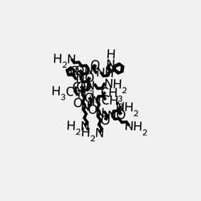 CC(C)CN(CC(=O)N(CCCCN)CC(=O)N(CCCCN)CC(N)=O)C(=O)CN(CCCCN)C(=O)CN(CC(C)C)C(=O)CN(CCCCN)C(=O)CN(Cc1ccco1)C(=O)CN(CCCCN)C(=O)CNCCc1c[nH]c2ccccc12